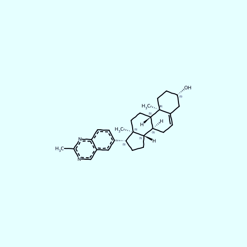 Cc1ncc2cc([C@H]3CC[C@H]4[C@@H]5CC=C6C[C@@H](O)CC[C@]6(C)[C@H]5CC[C@]34C)ccc2n1